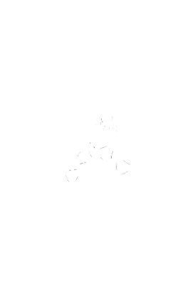 O=P(O)(O)OCCn1c2ccc(-c3ccccc3)cc2c2cc(-c3ccccc3)ccc21